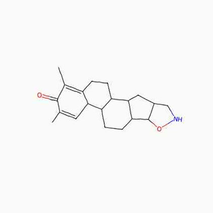 CC1=CC2C(=C(C)C1=O)CCC1C2CCC2C1CC1CNOC12